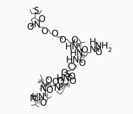 CC[C@H](C)[C@@H]([C@@H](CC(=O)N1CCC[C@H]1[C@H](OC)[C@@H](C)C(=O)NS(=O)(=O)c1ccc(NC(=O)[C@H](CCCNC(N)=O)NC(=O)[C@@H](NC(=O)CCOCCOCCOCCN2C(=O)CC(C(CC)(CC)SC)C2=O)C(C)C)cc1)OC)N(C)C(=O)[C@@H](NC(=O)[C@H](C(C)C)N(C)C)C(C)C